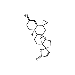 CC[C@]12CCC3C(CC4(CC4)C4=CC(=N)CC[C@@H]43)C1CC[C@@]21C=CC(=O)O1